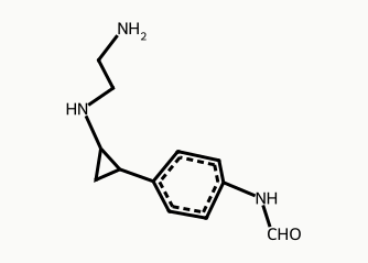 NCCNC1CC1c1ccc(NC=O)cc1